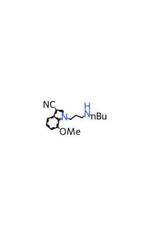 CCCCNCCCn1cc(C#N)c2cccc(OC)c21